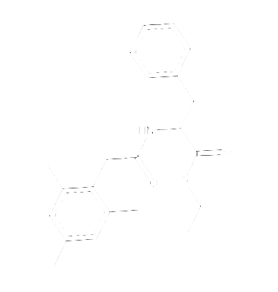 CCOC(=O)C(Cc1ccccc1)NC(=O)Cc1c(C)cc(C)cc1C